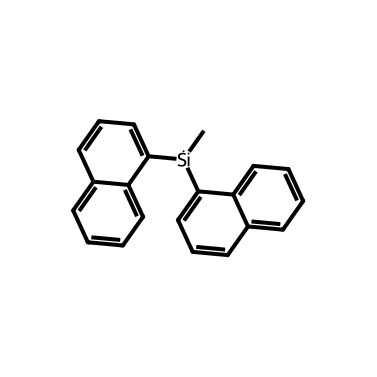 C[Si](c1cccc2ccccc12)c1cccc2ccccc12